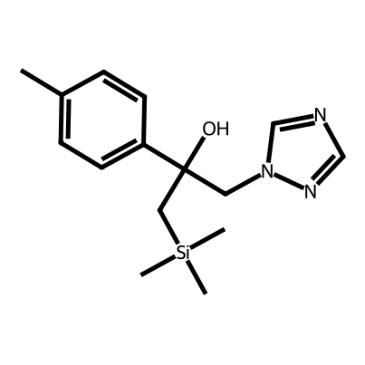 Cc1ccc(C(O)(Cn2cncn2)C[Si](C)(C)C)cc1